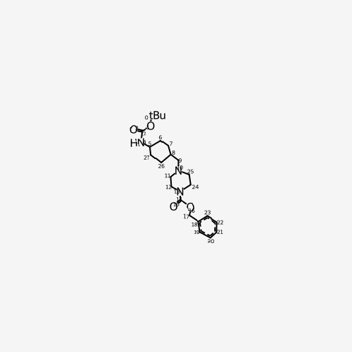 CC(C)(C)OC(=O)NC1CCC(CN2CCN(C(=O)OCc3ccccc3)CC2)CC1